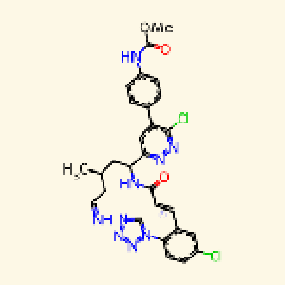 COC(=O)Nc1ccc(-c2cc(C(CC(C)CC=N)NC(=O)/C=C/c3cc(Cl)ccc3-n3cnnn3)nnc2Cl)cc1